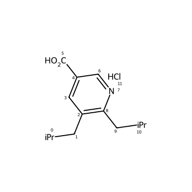 CC(C)Cc1cc(C(=O)O)cnc1CC(C)C.Cl